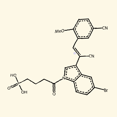 COc1ccc(C#N)cc1/C=C(\C#N)c1cn(C(=O)CCCP(=O)(O)O)c2ccc(Br)cc12